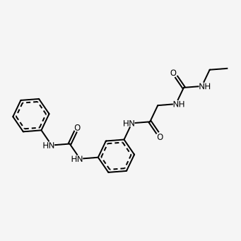 CCNC(=O)NCC(=O)Nc1cccc(NC(=O)Nc2ccccc2)c1